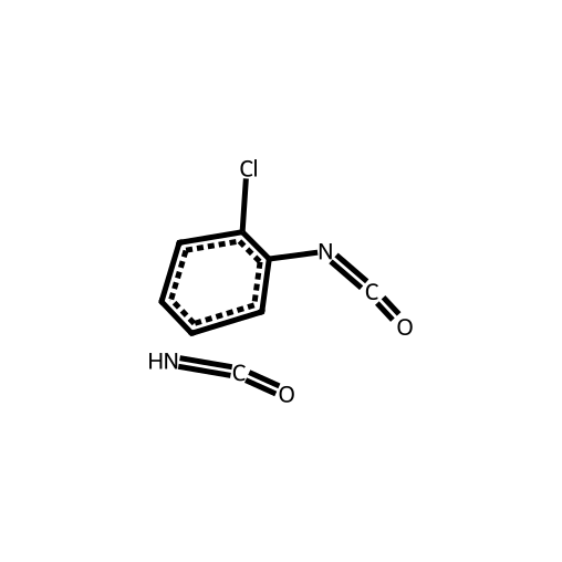 N=C=O.O=C=Nc1ccccc1Cl